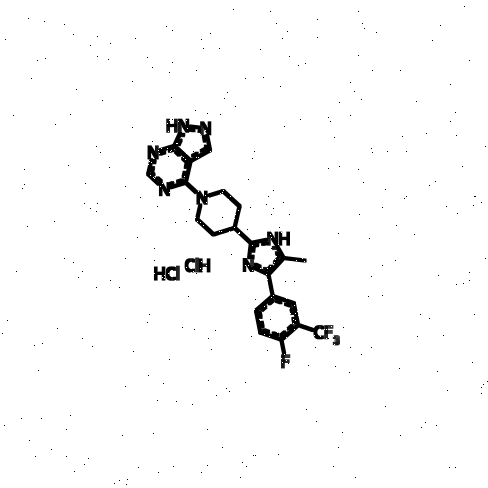 Cc1[nH]c(C2CCN(c3ncnc4[nH]ncc34)CC2)nc1-c1ccc(F)c(C(F)(F)F)c1.Cl.Cl